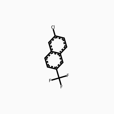 FC(F)(F)c1ccc2cc(Cl)ccc2c1